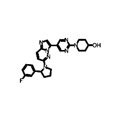 OC1CCN(c2ncc(-c3cnc4ccc(N5CCCC5c5cccc(F)c5)nn34)cn2)CC1